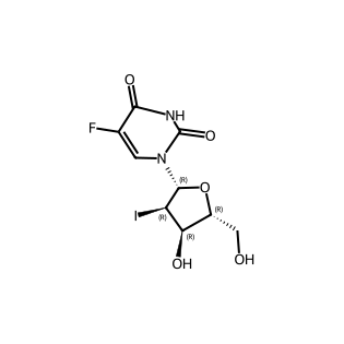 O=c1[nH]c(=O)n([C@@H]2O[C@H](CO)[C@@H](O)[C@H]2I)cc1F